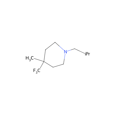 CC(C)CN1CCC(C)(C(F)(F)F)CC1